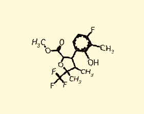 COC(=O)C1OC(C)(C(F)(F)F)C(C)C1c1ccc(F)c(C)c1O